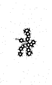 CC(C)(C)c1ccc(Nc2cc3c(cc2-c2c4c(c5c6cc7c(cc6n6c5c2Bc2sc5ccc(-c8ccccc8)cc5c2-6)C(C)(C)CCC7(C)C)C(C)(C)c2ccccc2-4)sc2cc4c(cc23)C(C)(C)CCC4(C)C)cc1